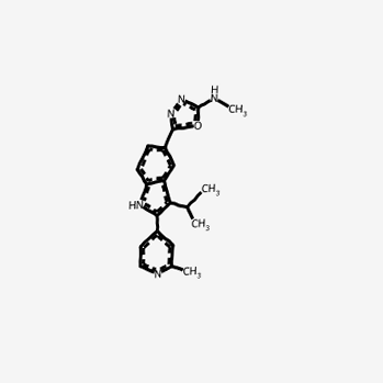 CNc1nnc(-c2ccc3[nH]c(-c4ccnc(C)c4)c(C(C)C)c3c2)o1